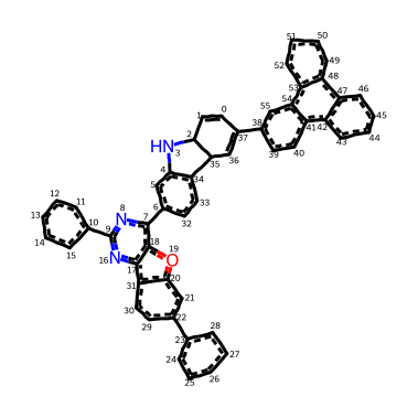 C1=CC2Nc3cc(-c4nc(-c5ccccc5)nc5c4oc4cc(-c6ccccc6)ccc45)ccc3C2C=C1c1ccc2c3ccccc3c3ccccc3c2c1